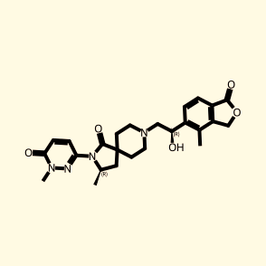 Cc1c([C@@H](O)CN2CCC3(CC2)C[C@@H](C)N(c2ccc(=O)n(C)n2)C3=O)ccc2c1COC2=O